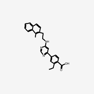 CCc1cc(-c2cc(NCCc3ccc4ccccc4c3C)ncn2)ccc1C(=O)O